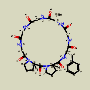 CC[C@H](C)[C@@H]1NC(=O)CNC(=O)[C@H](Cc2ccccc2)NC(=O)[C@@H]2CCCN2C(=O)[C@@H]2CCCN2C(=O)CNC(=O)CNC(=O)CNC1=O